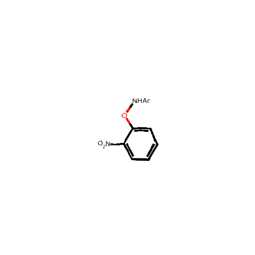 CC(=O)NOc1ccccc1[N+](=O)[O-]